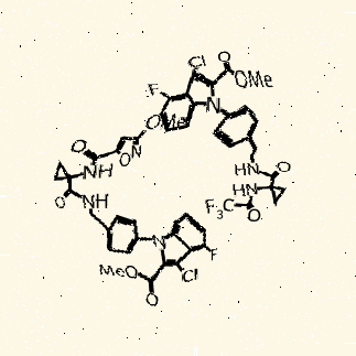 COC(=O)c1c(Cl)c2c(F)cccc2n1-c1ccc(CNC(=O)C2(NC(=O)C(F)(F)F)CC2)cc1.COC(=O)c1c(Cl)c2c(F)cccc2n1-c1ccc(CNC(=O)C2(NC(=O)c3cc(OC)no3)CC2)cc1